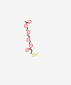 CC(=O)OCCOCCOCCOC(=O)CCS